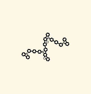 c1cc(-c2ccc(-c3ccc(-n4c5cc(-c6ccc7c(c6)oc6c7ccc7c8ccccc8n(-c8ccc(-c9ccc(-c%10cccc(-n%11c%12ccccc%12c%12ccccc%12%11)c%10)cc9)cc8)c76)ccc5c5cc6c(cc54)oc4ccccc46)cc3)cc2)cc(-n2c3ccccc3c3ccccc32)c1